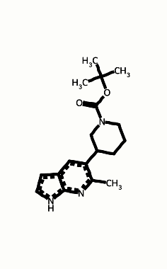 Cc1nc2[nH]ccc2cc1C1CCCN(C(=O)OC(C)(C)C)C1